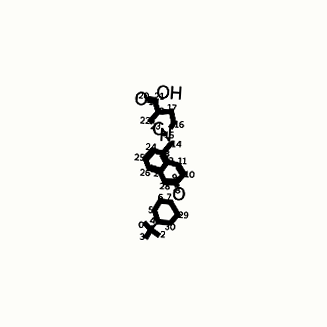 CC(C)(C)[C@H]1CC[C@H](Oc2ccc3c(CN4CCC(C(=O)O)CC4)cccc3c2)CC1